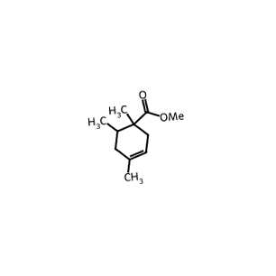 COC(=O)C1(C)CC=C(C)CC1C